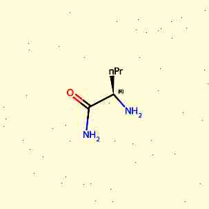 CCC[C@@H](N)C(N)=O